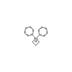 c1ccc([AsH]2(c3ccccc3)CCC2)cc1